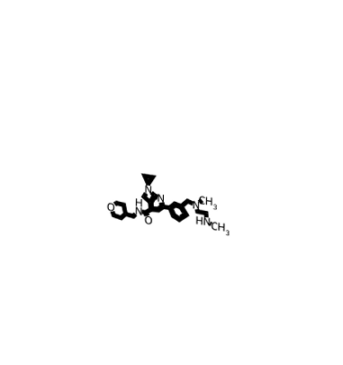 CNCCN(C)Cc1cccc(-c2cc(C(=O)NCC3CCOCC3)c3c(n2)N(C2CC2)C3)c1